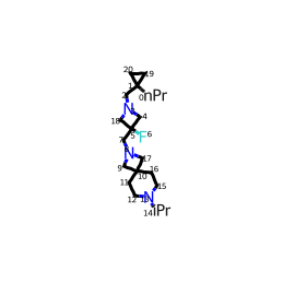 CCCC1(CN2CC(F)(CN3CC4(CCN(C(C)C)CC4)C3)C2)CC1